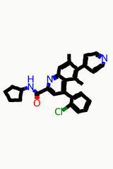 Cc1cc2nc(C(=O)NC3CCCC3)cc(-c3ccccc3Cl)c2c(C)c1-c1ccncc1